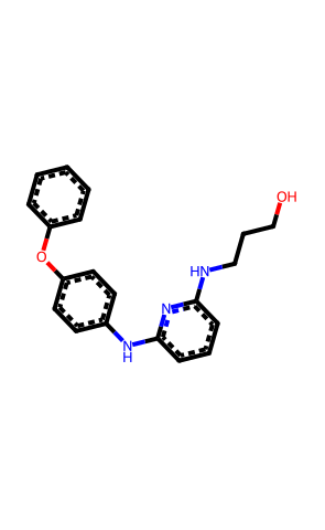 OCCCNc1cccc(Nc2ccc(Oc3ccccc3)cc2)n1